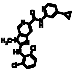 Cn1c(Nc2c(Cl)cccc2Cl)nc2cc(C(=O)Nc3cc(C4CC4)ccn3)ncc21